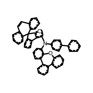 C1=Cc2ccccc2C2(c3ccccc31)c1ccccc1-c1c(N(c3ccc(-c4ccccc4)cc3)c3cccc4c3Oc3ccccc3-c3ccccc3-4)cccc12